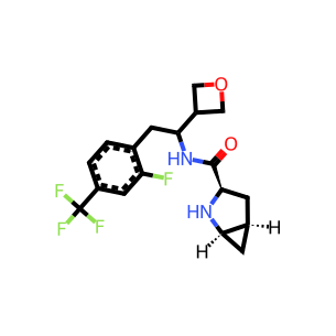 O=C(NC(Cc1ccc(C(F)(F)F)cc1F)C1COC1)[C@H]1C[C@H]2C[C@H]2N1